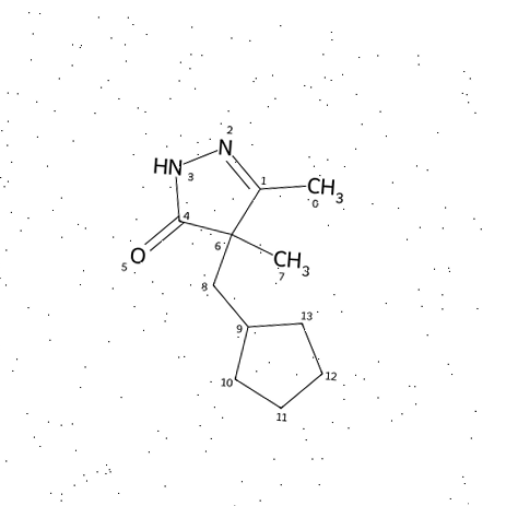 CC1=NNC(=O)C1(C)CC1CCCC1